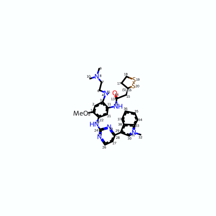 COc1cc(N(C)CCN(C)C)c(NC(=O)C[C@H]2CCSS2)cc1Nc1nccc(-c2cn(C)c3ccccc23)n1